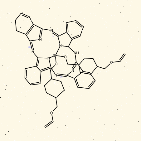 C=COCC1CCC(CO[Si]2(OCC3CCC(COC=C)CC3)N3/C4=N\C5=NC(=N\c6c7ccccc7c(n62)/N=C2\N=C(NC3c3ccccc34)c3ccccc32)/C2=C5C=CCC2)CC1